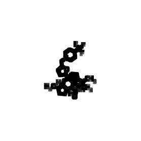 CC(C)C1=CC2CC3(C=O)[C@@H]4CC[C@@H](C)[C@H]4CC2(C2CCC(CN4CCC(C(F)(F)F)CC4)O2)C13C(=O)O